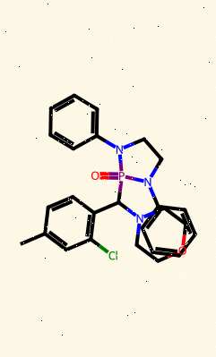 Cc1ccc(C(N2CCOCC2)P2(=O)N(c3ccccc3)CCN2c2ccccc2)c(Cl)c1